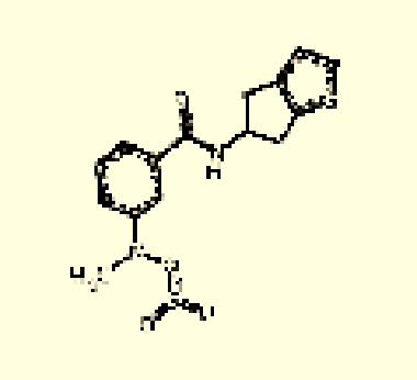 CN(O[SH](=O)=O)c1cccc(C(=O)NC2Cc3ccsc3C2)c1